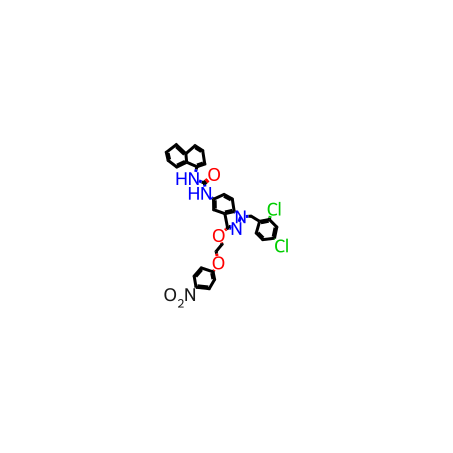 O=C(Nc1ccc2c(c1)c(OCCOc1ccc([N+](=O)[O-])cc1)nn2Cc1ccc(Cl)cc1Cl)Nc1cccc2ccccc12